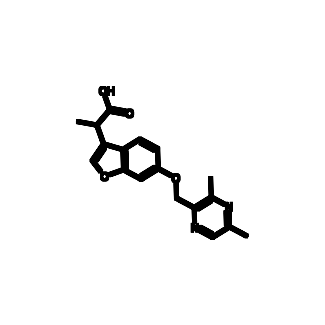 Cc1cnc(COc2ccc3c(C(C)C(=O)O)coc3c2)c(C)n1